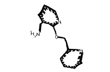 Nc1cccnc1OCc1ccccn1